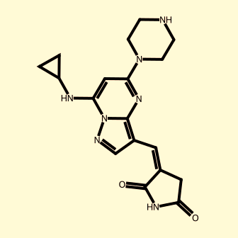 O=C1CC(=Cc2cnn3c(NC4CC4)cc(N4CCNCC4)nc23)C(=O)N1